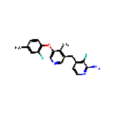 Cc1ccc(Oc2cncc(Cc3ccnc(N)c3F)c2C)c(F)c1